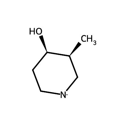 C[C@H]1C[N]CC[C@H]1O